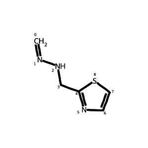 C=NNCc1nccs1